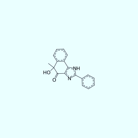 CC1(O)C(=O)c2nc(-c3ccccc3)[nH]c2-c2ccccc21